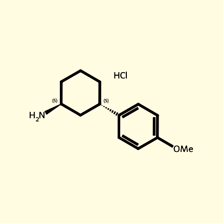 COc1ccc([C@H]2CCC[C@H](N)C2)cc1.Cl